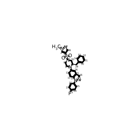 Cn1cc(S(=O)(=O)N2CCN(c3ccc4c(cnn4-c4ccc(F)cc4)c3)[C@H](Cc3ccccc3)C2)cn1